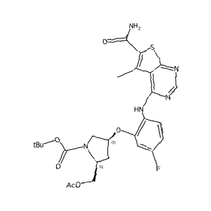 CC(=O)OC[C@@H]1C[C@H](Oc2cc(F)ccc2Nc2ncnc3sc(C(N)=O)c(C)c23)CN1C(=O)OC(C)(C)C